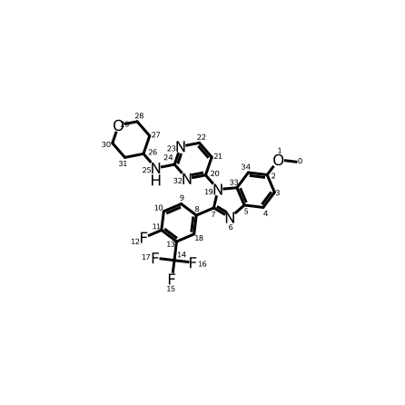 COc1ccc2nc(-c3ccc(F)c(C(F)(F)F)c3)n(-c3ccnc(NC4CCOCC4)n3)c2c1